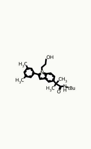 Cc1cc(C)cc(-c2cc3cc(C(C)(C)C(=O)NC(C)(C)C)ccc3n2CCCO)c1